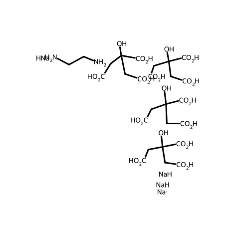 NCCN.O=C(O)CC(O)(CC(=O)O)C(=O)O.O=C(O)CC(O)(CC(=O)O)C(=O)O.O=C(O)CC(O)(CC(=O)O)C(=O)O.O=C(O)CC(O)(CC(=O)O)C(=O)O.[NaH].[NaH].[NaH].[Na]